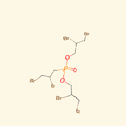 O=P(CC(Br)CBr)(OCC(Br)CBr)OCC(Br)CBr